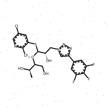 C[C@@H](O)C(CO)OC(Sc1cc(Cl)cnc1C(F)(F)F)[C@@H](O)Cn1cc(-c2cc(F)c(F)c(F)c2)nn1